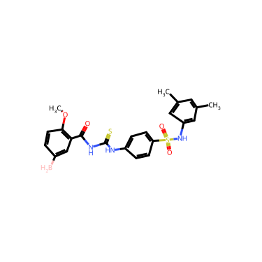 Bc1ccc(OC)c(C(=O)NC(=S)Nc2ccc(S(=O)(=O)Nc3cc(C)cc(C)c3)cc2)c1